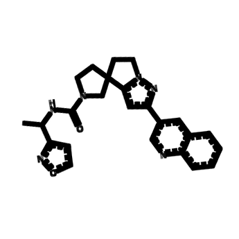 CC(NC(=O)N1CCC2(CCn3nc(-c4cnc5ccccc5c4)cc32)C1)c1ccon1